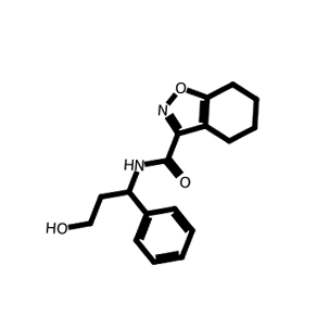 O=C(NC(CCO)c1ccccc1)c1noc2c1CCCC2